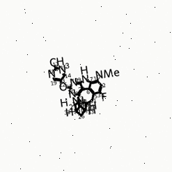 CNc1cc(F)c2c3c1[nH]c1nc(Oc4cnc(C)nc4)nc(c13)N1C[C@@H]3C[C@@H]([C@@H]3N)[C@@H]1C2